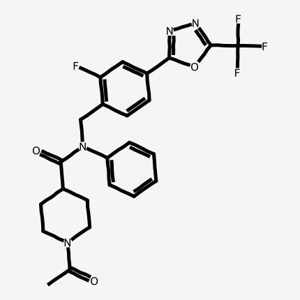 CC(=O)N1CCC(C(=O)N(Cc2ccc(-c3nnc(C(F)(F)F)o3)cc2F)c2ccccc2)CC1